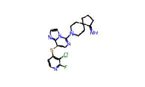 N=C1CCCC12CCN(c1ncc(Sc3ccnc(F)c3Cl)c3nccn13)CC2